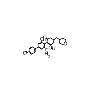 Cc1cc(-c2ccc(Cl)cc2)cc(C)c1C1=C(O)CC(CC2CCOCC2)CC1=O